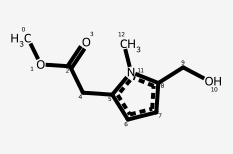 COC(=O)Cc1ccc(CO)n1C